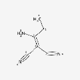 CCC(N)=C(C#N)C#N